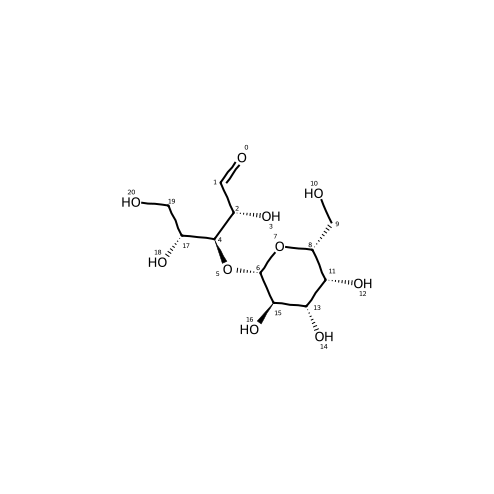 O=C[C@H](O)[C@@H](O[C@@H]1O[C@H](CO)[C@H](O)[C@H](O)[C@H]1O)[C@H](O)CO